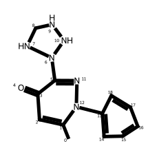 Cc1cc(=O)c(N2NCNN2)nn1-c1ccccc1